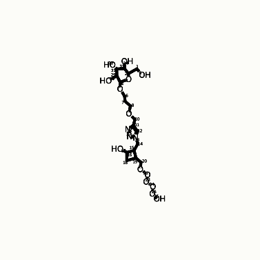 OCC1OC(OCCCOCc2cn(CC3C(O)CC3COOOOOO)nn2)C(O)C(O)C1O